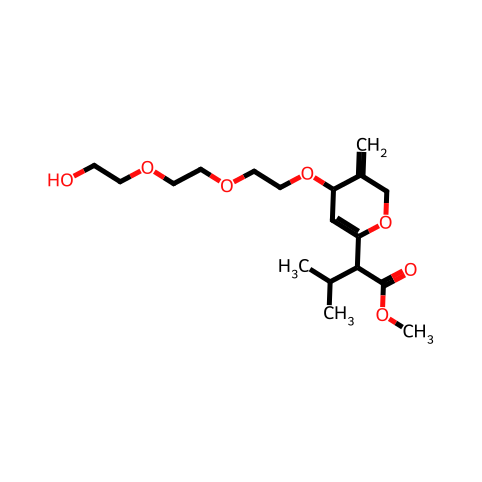 C=C1COC(C(C(=O)OC)C(C)C)=CC1OCCOCCOCCO